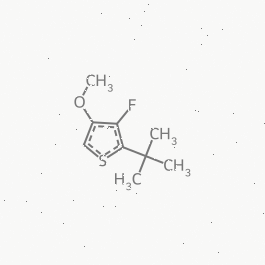 COc1csc(C(C)(C)C)c1F